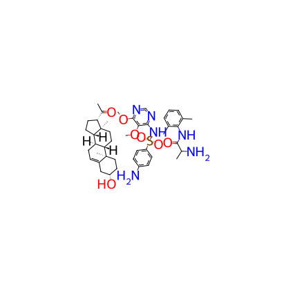 CC(=O)[C@H]1CC[C@H]2[C@@H]3CC=C4C[C@@H](O)CC[C@]4(C)[C@H]3CC[C@]12C.COc1ncnc(NS(=O)(=O)c2ccc(N)cc2)c1OC.Cc1cccc(C)c1NC(=O)C(C)N